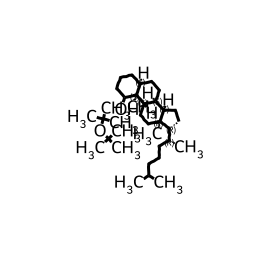 CC(C)(C)OC(C)(C)C.CC(C)CCC[C@@H](C)[C@H]1CC[C@H]2[C@@H]3CC[C@@H]4CCCC(O)[C@]4(C)[C@H]3CC[C@]12C